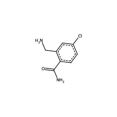 NCc1cc(Cl)ccc1C(N)=O